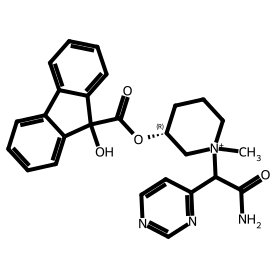 C[N+]1(C(C(N)=O)c2ccncn2)CCC[C@@H](OC(=O)C2(O)c3ccccc3-c3ccccc32)C1